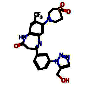 O=C1CC(c2cccc(-n3nncc3CO)c2)=Nc2cc(N3CCS(=O)(=O)CC3)c(C(F)(F)F)cc2N1